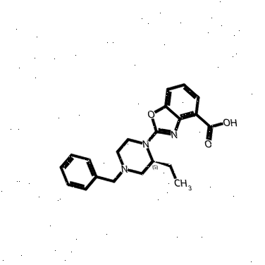 CC[C@H]1CN(Cc2ccccc2)CCN1c1nc2c(C(=O)O)cccc2o1